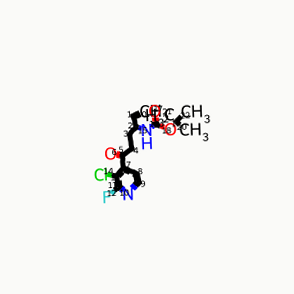 C=CC(CCC(=O)c1ccnc(F)c1Cl)NC(=O)OC(C)(C)C